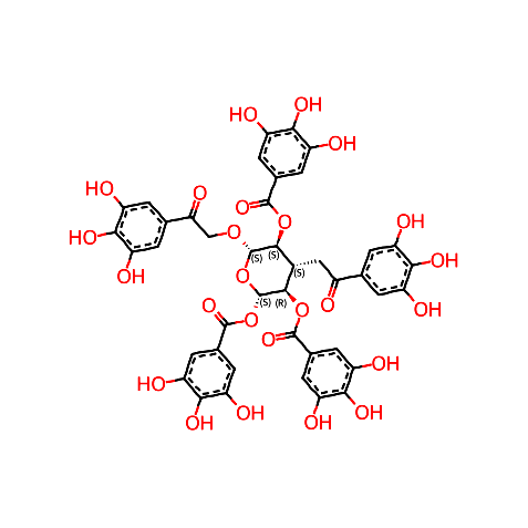 O=C(CO[C@H]1O[C@@H](OC(=O)c2cc(O)c(O)c(O)c2)[C@H](OC(=O)c2cc(O)c(O)c(O)c2)[C@@H](CC(=O)c2cc(O)c(O)c(O)c2)[C@@H]1OC(=O)c1cc(O)c(O)c(O)c1)c1cc(O)c(O)c(O)c1